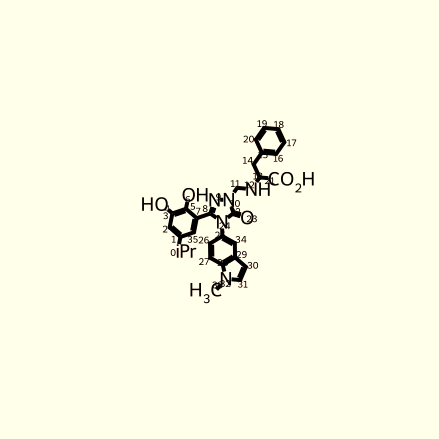 CC(C)c1cc(O)c(O)c(-c2nn(CNC(Cc3ccccc3)C(=O)O)c(=O)n2-c2ccc3c(ccn3C)c2)c1